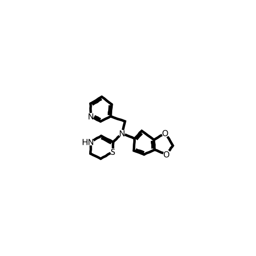 C1=C(N(Cc2cccnc2)c2ccc3c(c2)OCO3)SCCN1